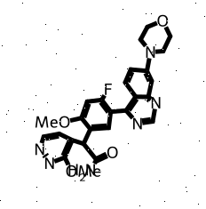 COc1cc(F)c(-c2ncnc3cc(N4CCOCC4)ccc23)cc1C(C(N)=O)c1ccnnc1OC